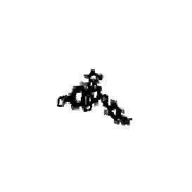 Clc1ccc(C2(Cn3ccnc3)OCC(OCc3ccc(Br)cc3)CO2)c(Cl)c1